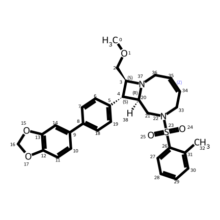 COC[C@@H]1[C@@H](c2ccc(-c3ccc4c(c3)OCO4)cc2)[C@@H]2CN(S(=O)(=O)c3ccccc3C)C/C=C\CN12